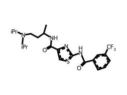 CC(CCN(C(C)C)C(C)C)NC(=O)c1csc(NC(=O)c2cccc(C(F)(F)F)c2)n1